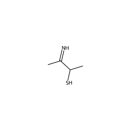 CC(=N)C(C)S